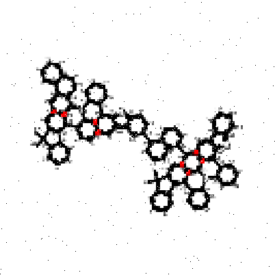 CC1(C)c2ccccc2-c2c(-c3ccccc3N(c3ccc(-c4cccc5c(-c6ccc7oc8c(-c9ccccc9N(c9ccccc9-c9cccc%10c9-c9ccccc9C%10(C)C)c9cccc%10c9ccc9ccccc9%10)cccc8c7c6)cccc45)cc3)c3ccccc3-c3cccc4c3oc3ccccc34)cccc21